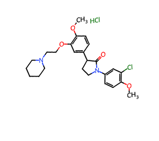 COc1ccc(N2CCC(c3ccc(OC)c(OCCN4CCCCC4)c3)C2=O)cc1Cl.Cl